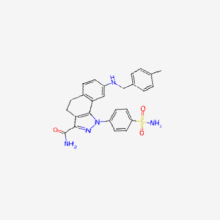 Cc1ccc(CNc2ccc3c(c2)-c2c(c(C(N)=O)nn2-c2ccc(S(N)(=O)=O)cc2)CC3)cc1